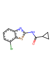 O=C(Nc1nc2cccc(Br)c2s1)C1CC1